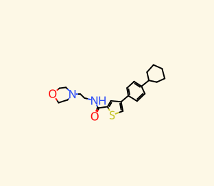 O=C(NCCN1CCOCC1)c1cc(-c2ccc(C3CCCCC3)cc2)cs1